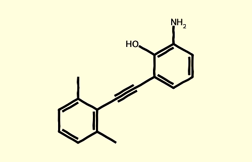 Cc1cccc(C)c1C#Cc1cccc(N)c1O